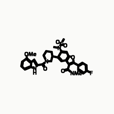 CNC(=O)c1c(-c2ccc(F)cc2)oc2cc(N(C)S(C)(=O)=O)c(C3CCCN(C(=O)c4cc5c(OC)cccc5[nH]4)C3)cc12